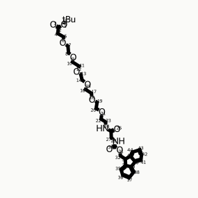 CC(C)(C)OC(=O)CCOCCOCCOCCOCCOCCOCCNC(=O)CNC(=O)OCC1c2ccccc2-c2ccccc21